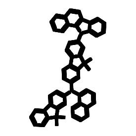 CC1(C)c2ccccc2-c2ccc(N(c3ccc4c(c3)C(C)(C)c3cc(-n5c6ccccc6c6ccc7ccccc7c65)ccc3-4)c3cccc4ccccc34)cc21